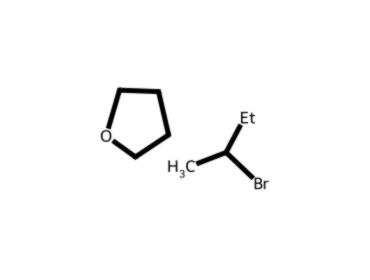 C1CCOC1.CCC(C)Br